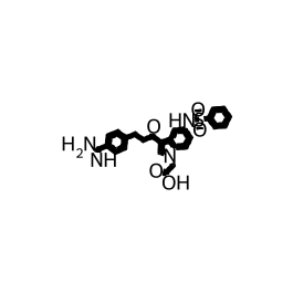 N=C(N)c1ccc(CCC(=O)c2cn(CC(=O)O)c3ccc(NS(=O)(=O)c4ccccc4)cc23)cc1